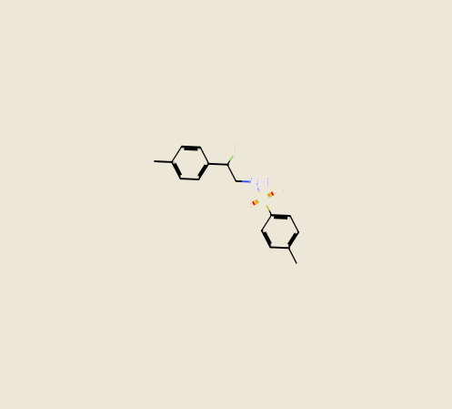 Cc1ccc(C(F)CNS(=O)(=O)c2ccc(C)cc2)cc1